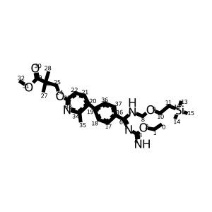 CCOC(=N)/N=C(\NCOCC[Si](C)(C)C)c1ccc(-c2ccc(OCC(C)(C)C(=O)OC)nc2C)cc1